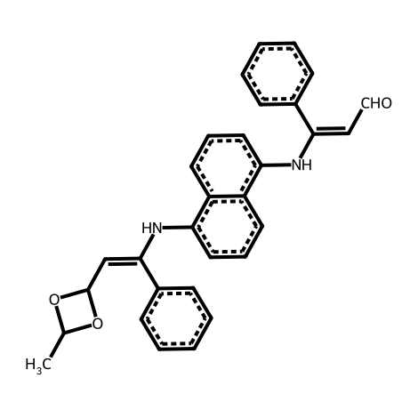 CC1OC(/C=C(/Nc2cccc3c(N/C(=C/C=O)c4ccccc4)cccc23)c2ccccc2)O1